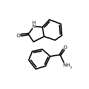 NC(=O)c1ccccc1.O=C1CC2CC=CC=C2N1